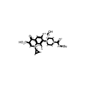 CC(C)(C)OC(=O)N1CCN(c2c(F)cc3c(=O)c(C(=O)O)cn(C4CC4)c3c2F)[C@H](CO)C1